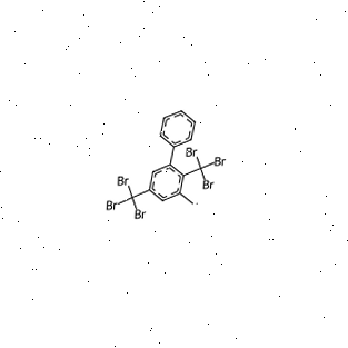 [CH2]c1cc(C(Br)(Br)Br)cc(-c2ccccc2)c1C(Br)(Br)Br